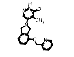 Cc1c(N2Cc3cccc(OCc4ccccn4)c3C2)cn[nH]c1=O